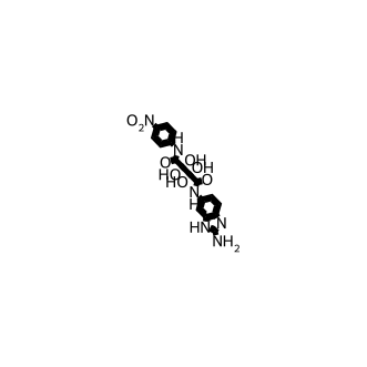 Nc1nc2ccc(NC(=O)C(O)(O)C(O)(O)C(=O)Nc3ccc([N+](=O)[O-])cc3)cc2[nH]1